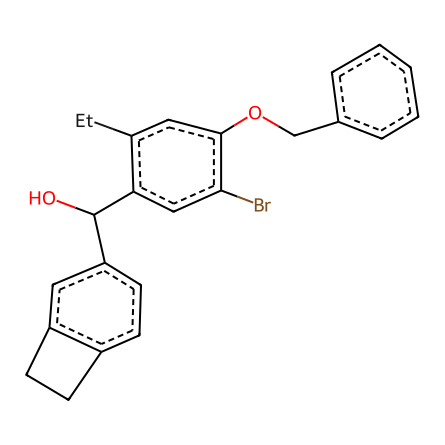 CCc1cc(OCc2ccccc2)c(Br)cc1C(O)c1ccc2c(c1)CC2